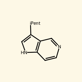 CCCC(C)c1c[nH]c2ccncc12